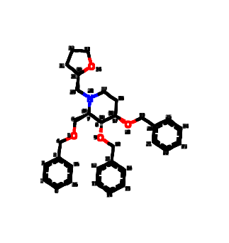 c1ccc(COC[C@@H]2[C@@H](OCc3ccccc3)[C@H](OCc3ccccc3)CCN2C[C@H]2CCCO2)cc1